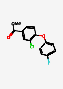 COC(=O)c1ccc(Oc2ccc(F)cc2)c(Cl)c1